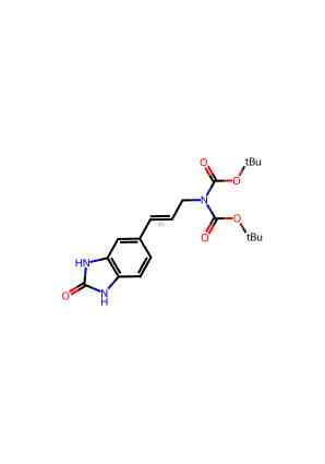 CC(C)(C)OC(=O)N(C/C=C/c1ccc2[nH]c(=O)[nH]c2c1)C(=O)OC(C)(C)C